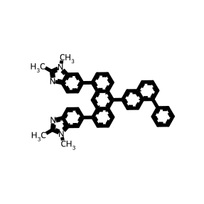 Cc1nc2ccc(-c3cccc4c(-c5ccc6c(-c7ccccc7)cccc6c5)c5cccc(-c6ccc7nc(C)n(C)c7c6)c5cc34)cc2n1C